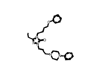 CCc1nn(CCCN2CCN(c3ccccc3)CC2)c(=O)n1CCCCOc1ccccc1